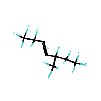 FC(F)(F)C(F)(F)/C=C/C(F)(C(F)(F)F)C(F)(F)C(F)(F)F